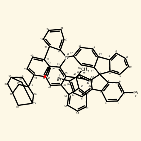 CC(C)c1ccc2c(c1)C1(c3ccccc3-c3ccc(N(c4ccccc4-c4ccc(C56CC7CC(CC(C7)C5)C6)cc4)c4cccc5c4C(C)(C)c4ccccc4-5)cc31)c1cc(C(C)C)ccc1-2